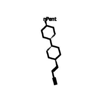 C#CC=C[C@H]1CC[C@H]([C@H]2CC[C@H](CCCCC)CC2)CC1